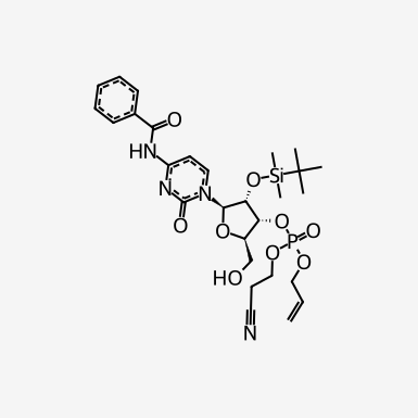 C=CCOP(=O)(OCCC#N)O[C@H]1[C@@H](O[Si](C)(C)C(C)(C)C)[C@H](n2ccc(NC(=O)c3ccccc3)nc2=O)O[C@@H]1CO